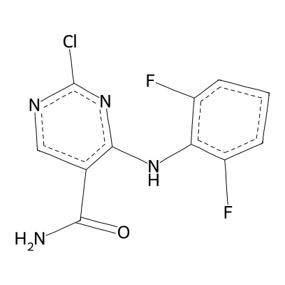 NC(=O)c1cnc(Cl)nc1Nc1c(F)cccc1F